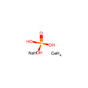 O=P(O)(O)O.[GeH4].[NaH]